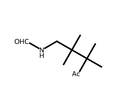 CC(=O)C(C)(C)C(C)(C)CNC=O